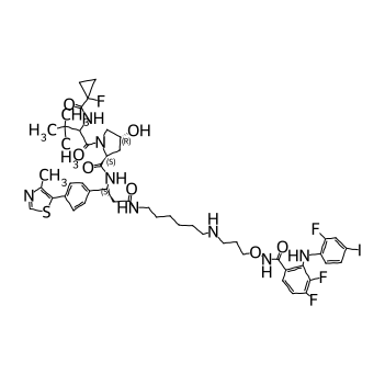 Cc1ncsc1-c1ccc([C@H](CC(=O)NCCCCCCNCCCONC(=O)c2ccc(F)c(F)c2Nc2ccc(I)cc2F)NC(=O)[C@@H]2C[C@@H](O)CN2C(=O)C(NC(=O)C2(F)CC2)C(C)(C)C)cc1